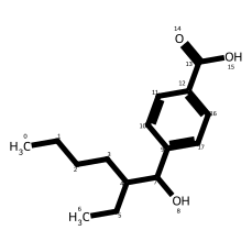 CCCCC(CC)C(O)c1ccc(C(=O)O)cc1